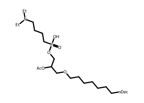 CCCCCCCCCCCCCCCCCOCC(COP(=O)(O)CCCCN(CC)CC)OC(C)=O